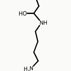 CCC(O)NCCCCN